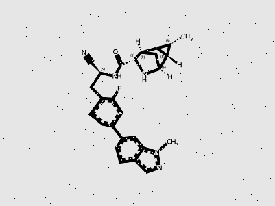 C[C@H]1C2[C@H]1[C@@H]1C[C@H]2[C@@H](C(=O)N[C@H](C#N)Cc2ccc(-c3ccc4cnn(C)c4c3)cc2F)N1